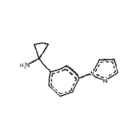 NC1(c2cccc(-n3cccn3)c2)CC1